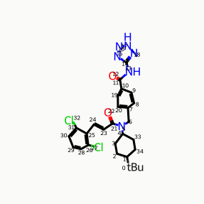 CC(C)(C)C1CCC(N(Cc2ccc(C(=O)Nc3nn[nH]n3)cc2)C(=O)/C=C/c2c(Cl)cccc2Cl)CC1